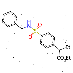 CCOC(=O)C(CC)c1ccc(S(=O)(=O)NCc2ccccc2)cc1